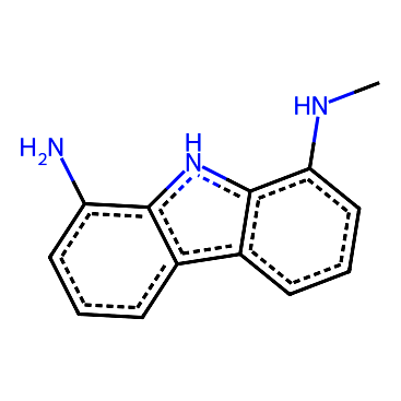 CNc1cccc2c1[nH]c1c(N)cccc12